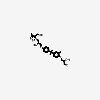 Cc1nnn(CC(O)COc2ccc(C(C)(C)c3ccc(OCC(O)CCl)c(I)c3)cc2)c1CO